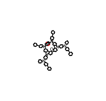 c1ccc(-c2ccc(N(c3ccccc3)c3ccc(-n4c5ccc(N(c6ccccc6)c6ccc(-c7ccccc7)cc6)cc5c5c6oc7c(ccc8c7c7cc(N(c9ccccc9)c9ccc(-c%10ccccc%10)cc9)ccc7n8-c7ccc(N(c8ccccc8)c8ccc(-c9ccccc9)cc8)cc7)c6ccc54)cc3)cc2)cc1